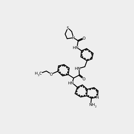 CCOc1cccc(C(Nc2ccc3c(N)nccc3c2)C(=O)NCc2cccc(NC(=O)N3CCSC3)c2)c1